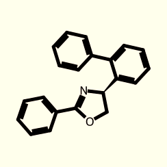 c1ccc(C2=N[C@@H](c3ccccc3-c3ccccc3)CO2)cc1